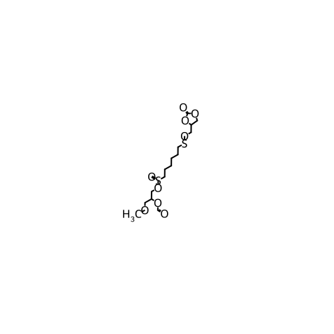 COCC(COS(=O)CCCCCCSOCC1COC(=O)O1)OC=O